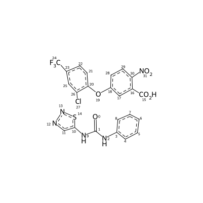 O=C(Nc1ccccc1)Nc1cnns1.O=C(O)c1cc(Oc2ccc(C(F)(F)F)cc2Cl)ccc1[N+](=O)[O-]